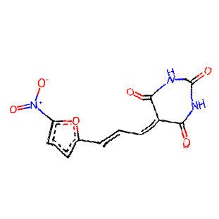 O=C1NC(=O)C(=CC=Cc2ccc([N+](=O)[O-])o2)C(=O)N1